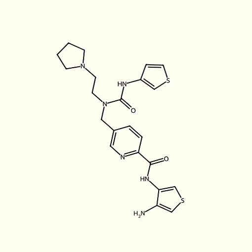 Nc1cscc1NC(=O)c1ccc(CN(CCN2CCCC2)C(=O)Nc2ccsc2)cn1